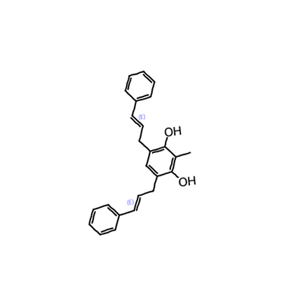 Cc1c(O)c(C/C=C/c2ccccc2)cc(C/C=C/c2ccccc2)c1O